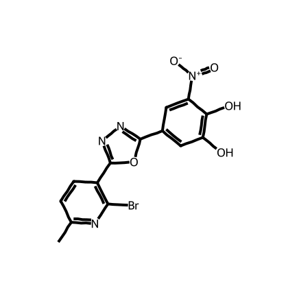 Cc1ccc(-c2nnc(-c3cc(O)c(O)c([N+](=O)[O-])c3)o2)c(Br)n1